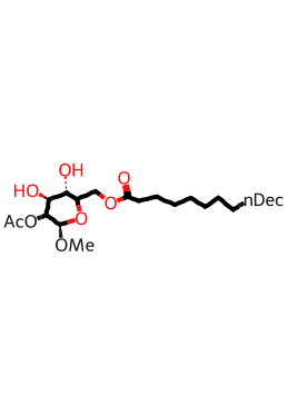 CCCCCCCCCCCCCCCCCC(=O)OCC1O[C@@H](OC)C(OC(C)=O)[C@@H](O)[C@@H]1O